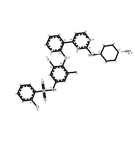 Cc1cc(NS(=O)(=O)c2ccccc2Cl)cc(F)c1Oc1ncccc1-c1ccnc(N[C@H]2CC[C@H](N)CC2)n1